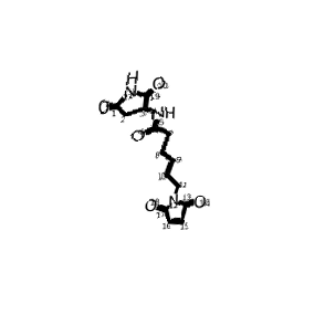 O=C1CC(NC(=O)CCCCCN2C(=O)C=CC2=O)C(=O)N1